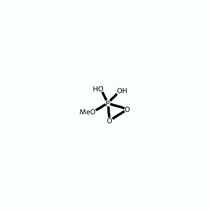 COP1(O)(O)OO1